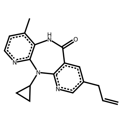 C=CCc1cnc2c(c1)C(=O)Nc1c(C)ccnc1N2C1CC1